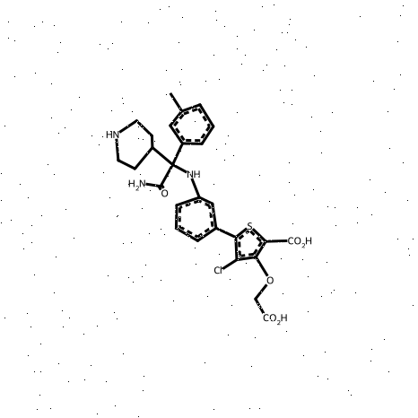 Cc1cccc(C(Nc2cccc(-c3sc(C(=O)O)c(OCC(=O)O)c3Cl)c2)(C(N)=O)C2CCNCC2)c1